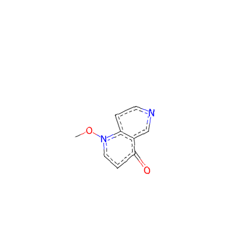 COn1ccc(=O)c2cnccc21